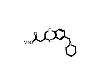 COC(=O)CC1COc2ccc(CN3CCCCC3)cc2O1